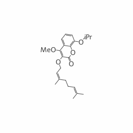 COc1c(OCC=C(C)CCC=C(C)C)c(=O)oc2c(OC(C)C)cccc12